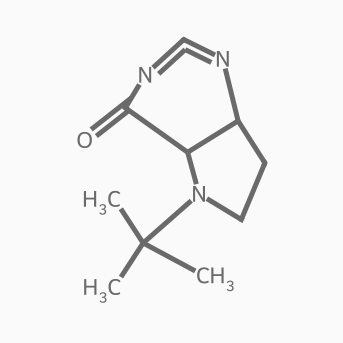 CC(C)(C)N1CCC2N=C=NC(=O)C21